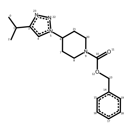 CC(C)c1cn(C2CCN(C(=O)OCc3ccccc3)CC2)nn1